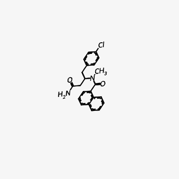 CN(C(=O)c1cccc2ccccc12)C(CC(N)=O)Cc1ccc(Cl)cc1